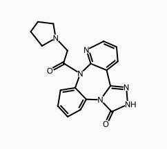 O=C(CN1CCCC1)N1c2ccccc2-n2c(n[nH]c2=O)-c2cccnc21